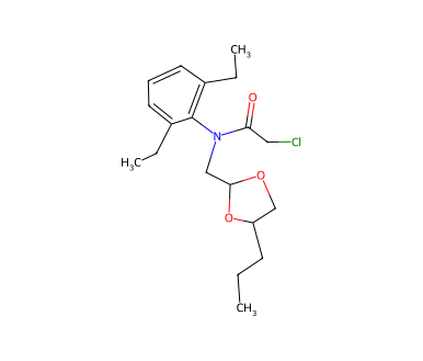 CCCC1COC(CN(C(=O)CCl)c2c(CC)cccc2CC)O1